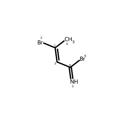 C/C(Br)=C\C(=N)Br